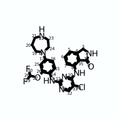 O=C1NCc2cccc(Nc3nc(Nc4ccc(N5CCCNCC5)cc4OC(F)F)ncc3Cl)c21